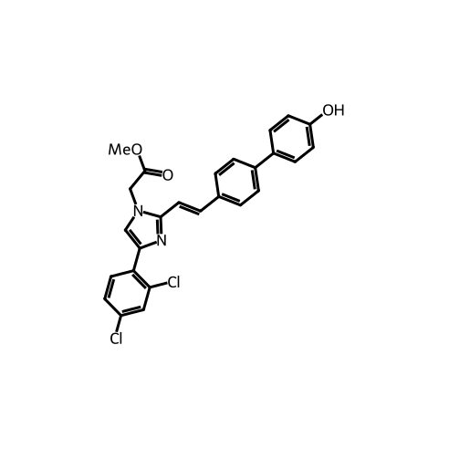 COC(=O)Cn1cc(-c2ccc(Cl)cc2Cl)nc1/C=C/c1ccc(-c2ccc(O)cc2)cc1